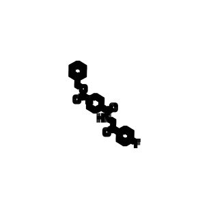 O=C(CNC(=O)C1CCN(C(=O)OCc2ccccc2)CC1)c1ccc(F)cc1